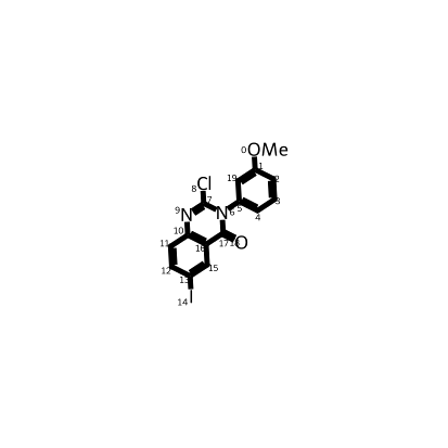 COc1cccc(-n2c(Cl)nc3ccc(I)cc3c2=O)c1